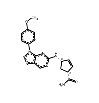 COc1ccc(-n2nnc3cnc(N[C@@H]4C=C[C@H](C(N)=O)C4)nc32)cc1